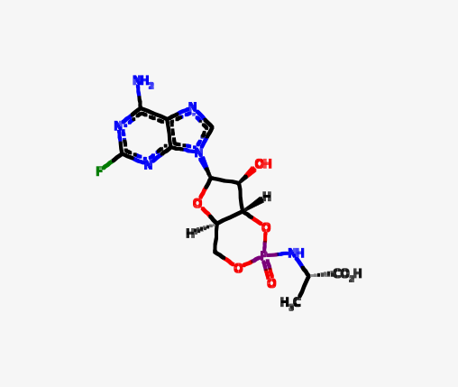 C[C@H](NP1(=O)OC[C@H]2O[C@@H](n3cnc4c(N)nc(F)nc43)[C@@H](O)[C@@H]2O1)C(=O)O